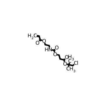 C=CC(=O)OCCNC(=O)OCCC(=O)OC(C)(C)CCl